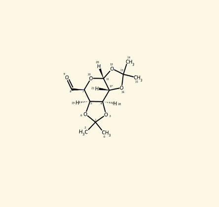 CC1(C)O[C@H]2[C@@H](O1)[C@@H](C=O)O[C@@H]1OC(C)(C)O[C@@H]12